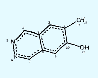 Cc1cc2cnncc2cc1O